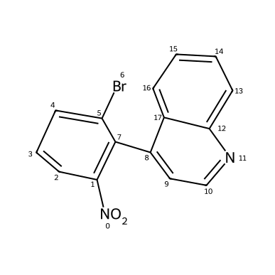 O=[N+]([O-])c1cccc(Br)c1-c1ccnc2ccccc12